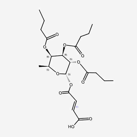 CCCC(=O)O[C@H]1[C@H](OC(=O)CCC)[C@H](OC(=O)/C=C/C(=O)O)O[C@@H](C)[C@H]1OC(=O)CCC